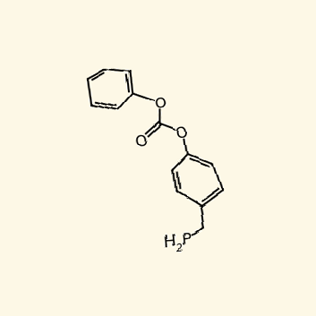 O=C(Oc1ccccc1)Oc1ccc(CP)cc1